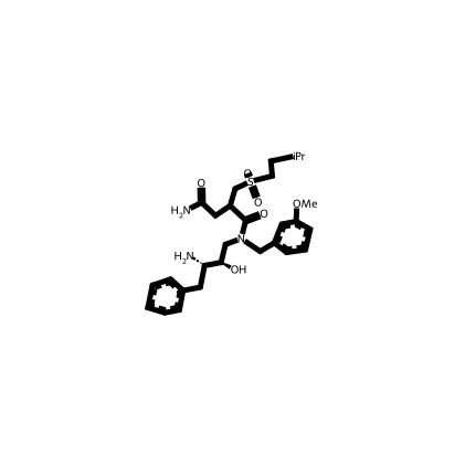 COc1cccc(CN(C[C@@H](O)[C@@H](N)Cc2ccccc2)C(=O)C(CC(N)=O)CS(=O)(=O)CCC(C)C)c1